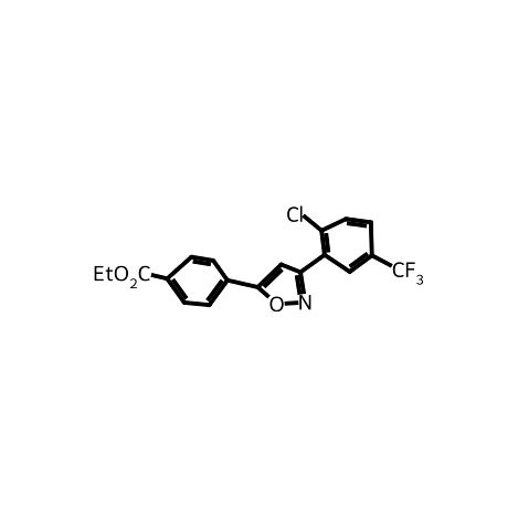 CCOC(=O)c1ccc(-c2cc(-c3cc(C(F)(F)F)ccc3Cl)no2)cc1